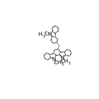 Cn1c2ccccc2c2cc(Cc3cc4c5ccccc5n(C)c4c4c3c3ccccc3n4C)ccc21